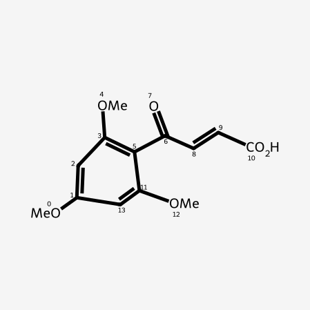 COc1cc(OC)c(C(=O)C=CC(=O)O)c(OC)c1